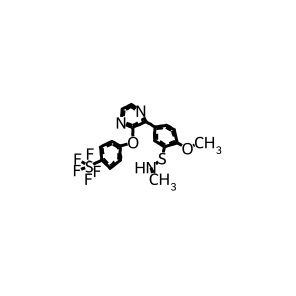 CNSc1cc(-c2nccnc2Oc2ccc(S(F)(F)(F)(F)F)cc2)ccc1OC